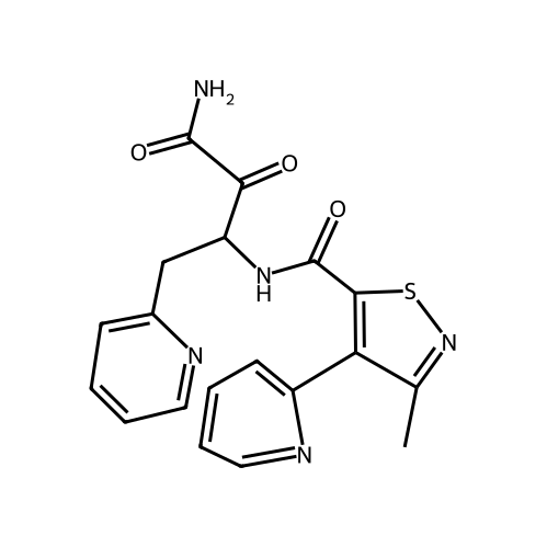 Cc1nsc(C(=O)NC(Cc2ccccn2)C(=O)C(N)=O)c1-c1ccccn1